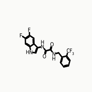 O=C(NCc1ccccc1C(F)(F)F)C(=O)Nc1c[nH]c2cc(F)c(F)cc12